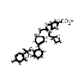 Cc1ccc(C2(C)Oc3cccc(C4=CCN(Cc5nc6cc(C(=O)O)sc6n5CC5CCO5)CC4)c3O2)c(F)c1